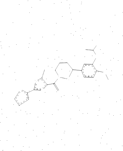 COc1ccc(C2CCCN(C(=O)c3sc(-c4cccs4)nc3C)N2)cc1OC(C)C